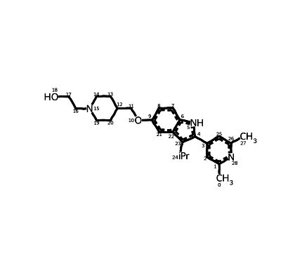 Cc1cc(-c2[nH]c3ccc(OCC4CCN(CCO)CC4)cc3c2C(C)C)cc(C)n1